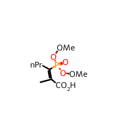 CCCC(=C(C)C(=O)O)P(=O)(OOC)OOC